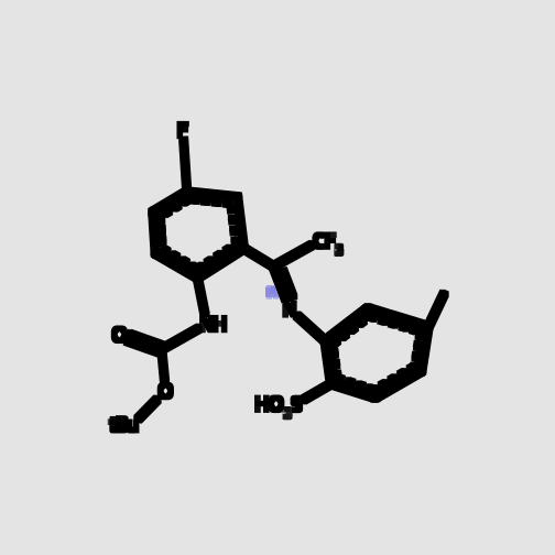 Cc1ccc(S(=O)(=O)O)c(/N=C(/c2cc(F)ccc2NC(=O)OC(C)(C)C)C(F)(F)F)c1